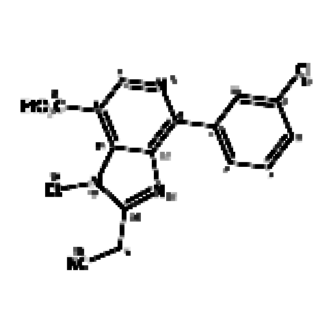 CCOC(=O)c1cnc(-c2cccc(Cl)c2)c2nc(CC#N)n(CC)c12